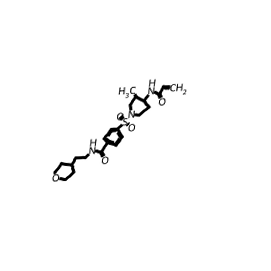 C=CC(=O)NC1CCN(S(=O)(=O)c2ccc(C(=O)NCCC3CCOCC3)cc2)CC1C